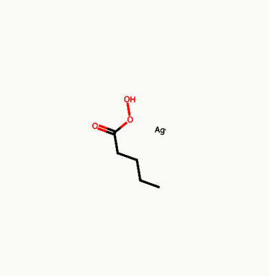 CCCCC(=O)OO.[Ag]